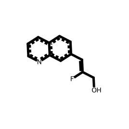 OCC(F)=Cc1ccc2cccnc2c1